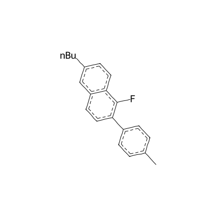 CCCCc1ccc2c(F)c(-c3ccc(C)cc3)ccc2c1